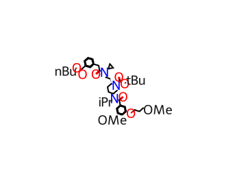 CCCCOC(=O)c1cccc(CC(=O)N(CC[C@H]2CC[C@@H](N(C(=O)c3ccc(OC)c(OCCCOC)c3)C(C)C)CN2C(=O)OC(C)(C)C)C2CC2)c1